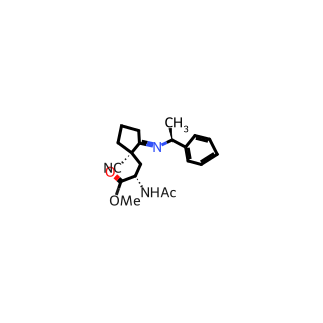 COC(=O)[C@H](C[C@@]1(C#N)CCC/C1=N\[C@@H](C)c1ccccc1)NC(C)=O